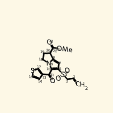 C=CCS(=O)(=O)c1cc2n(c1C(=O)c1ccsc1)CCC2C(=O)OC